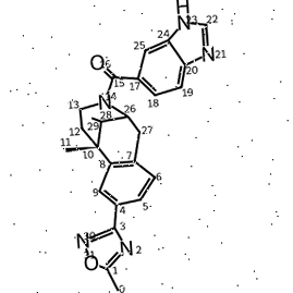 Cc1nc(-c2ccc3c(c2)[C@]2(C)CCN(C(=O)c4ccc5nc[nH]c5c4)C(C3)C2C)no1